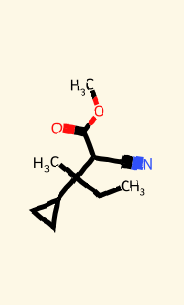 CCC(C)(C1CC1)C(C#N)C(=O)OC